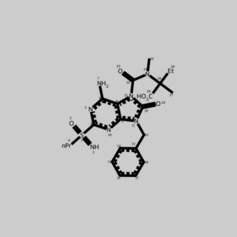 CCCS(=N)(=O)c1nc(N)c2c(n1)n(Cc1ccccc1)c(=O)n2C(=O)N(C)C(C)(CC)C(=O)O